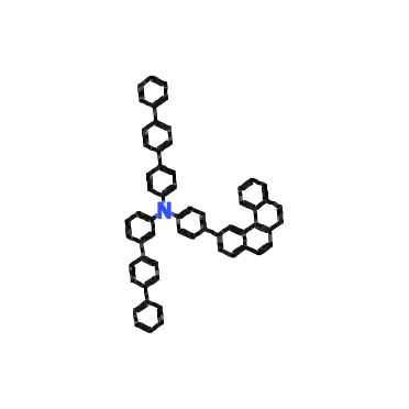 c1ccc(-c2ccc(-c3ccc(N(c4ccc(-c5ccc6ccc7ccc8ccccc8c7c6c5)cc4)c4cccc(-c5ccc(-c6ccccc6)cc5)c4)cc3)cc2)cc1